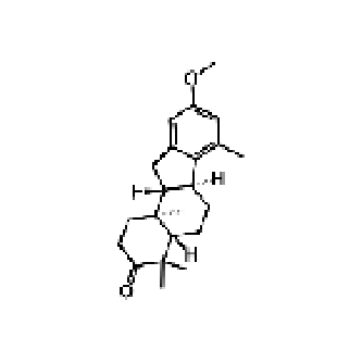 COc1cc(C)c2c(c1)C[C@@H]1[C@@H]2CC[C@@H]2C(C)(C)C(=O)CC[C@@]12C